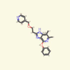 Cc1nc(Oc2ccccc2)c2nc(CCOCc3ccncc3)[nH]c2c1C